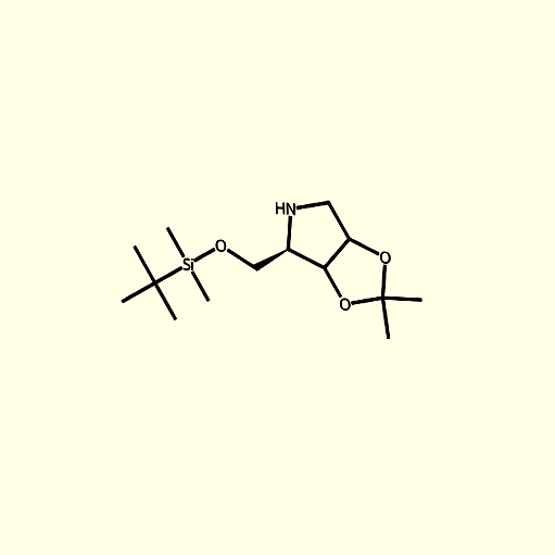 CC1(C)OC2CN[C@H](CO[Si](C)(C)C(C)(C)C)C2O1